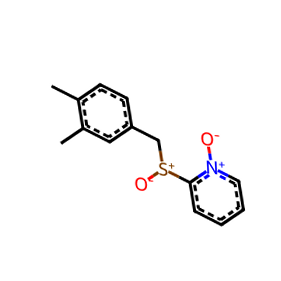 Cc1ccc(C[S+]([O-])c2cccc[n+]2[O-])cc1C